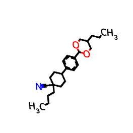 CCCCC1(C#N)CCC(c2ccc(C3OCC(CCC)CO3)cc2)CC1